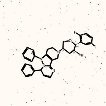 N[C@H]1C[C@@H](N2CCC3=C(C2)C2=NC=CC(c4ccccc4)N2N3c2ccccc2)CO[C@@H]1c1cc(F)ccc1F